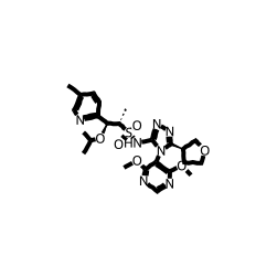 COc1ncnc(OC)c1-n1c(NS(=O)(=O)[C@@H](C)[C@@H](OC(C)C)c2ccc(C)cn2)nnc1[C@@H]1CCOC1